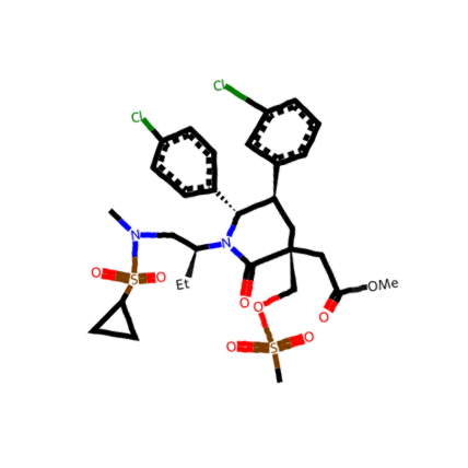 CC[C@@H](CN(C)S(=O)(=O)C1CC1)N1C(=O)[C@@](COS(C)(=O)=O)(CC(=O)OC)C[C@H](c2cccc(Cl)c2)[C@H]1c1ccc(Cl)cc1